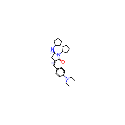 CCN(CC)c1ccc(/C=C2/C/C(=N/C3CCCC3)N(C3CCCC3)C2=O)cc1